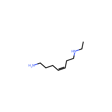 CCNCC/C=C\CCCN